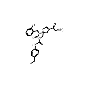 CCc1ccc(NC(=O)OCC2(N(C=O)Cc3ccccc3Cl)CCN(C(=O)CN)C2)cc1